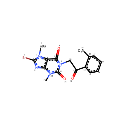 CCCCn1c(Br)nc2c1c(=O)n(CC(=O)c1ccccc1[N+](=O)[O-])c(=O)n2C